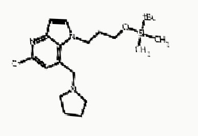 CC(C)(C)[Si](C)(C)OCCCn1ccc2nc(Cl)cc(CN3CCCC3)c21